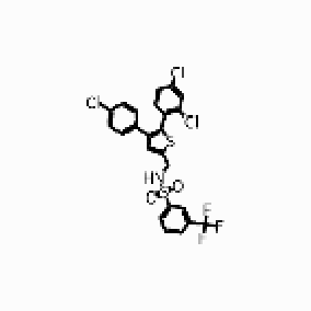 O=S(=O)(NCc1cc(-c2ccc(Cl)cc2)c(-c2ccc(Cl)cc2Cl)s1)c1cccc(C(F)(F)F)c1